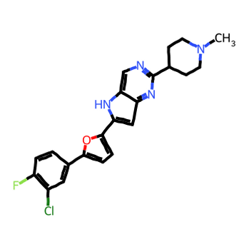 CN1CCC(c2ncc3[nH]c(-c4ccc(-c5ccc(F)c(Cl)c5)o4)cc3n2)CC1